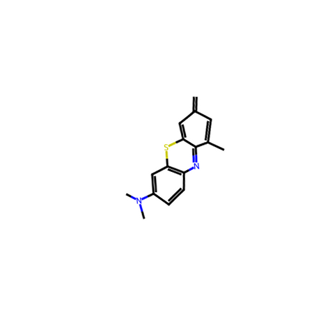 C=c1cc(C)c2c(c1)Sc1cc(N(C)C)ccc1N=2